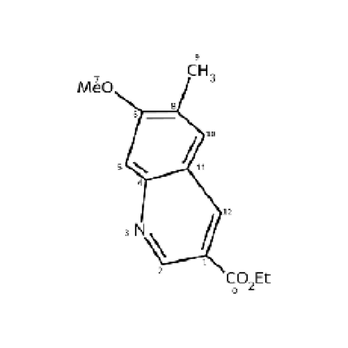 CCOC(=O)c1cnc2cc(OC)c(C)cc2c1